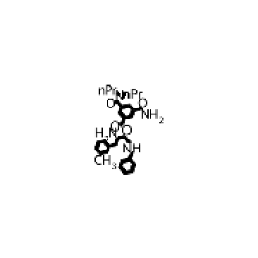 CCCN(CCC)C(=O)c1cc(C(N)=O)cc(C(=O)OC(CNCc2ccccc2)C(N)Cc2cccc(C)c2)c1